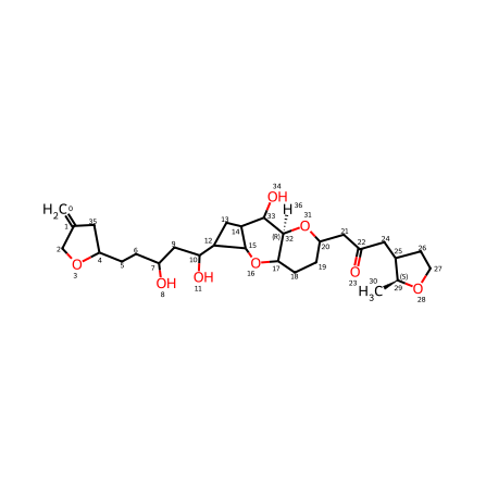 C=C1COC(CCC(O)CC(O)C2CC3C2OC2CCC(CC(=O)CC4CCO[C@H]4C)O[C@@H]2C3O)C1